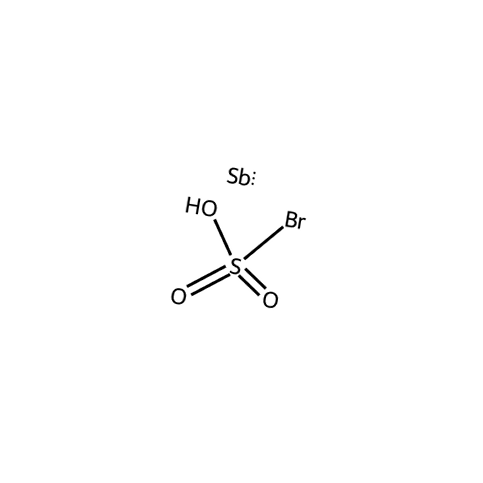 O=S(=O)(O)Br.[Sb]